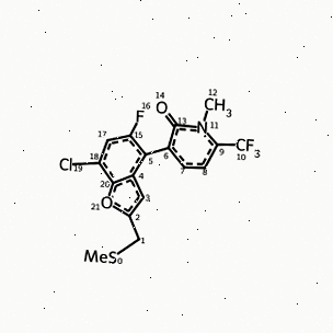 CSCc1cc2c(-c3ccc(C(F)(F)F)n(C)c3=O)c(F)cc(Cl)c2o1